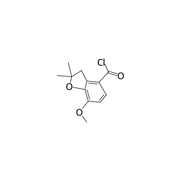 COc1ccc(C(=O)Cl)c2c1OC(C)(C)C2